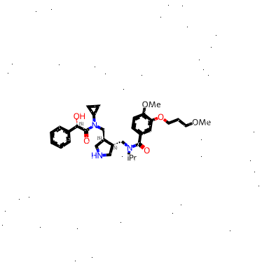 COCCCOc1cc(C(=O)N(C[C@@H]2CNC[C@H]2CN(C(=O)[C@@H](O)c2ccccc2)C2CC2)C(C)C)ccc1OC